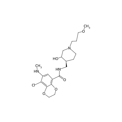 CNc1cc(C(=O)NC[C@@H]2CCN(CCCOC)CC2O)c2c(c1Cl)OCCO2